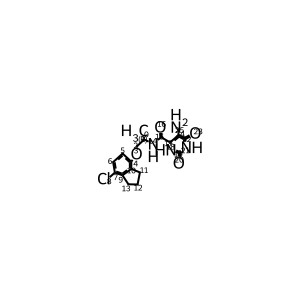 C[C@H](COc1ccc(Cl)c2c1CCC2)NC(=O)c1[nH]c(=O)[nH]c(=O)c1N